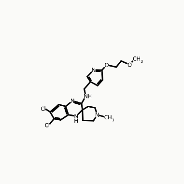 COCCOc1ccc(CNC2=Nc3cc(Cl)c(Cl)cc3NC23CCN(C)CC3)cn1